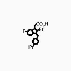 CCC1=C(CC(=O)O)c2cc(F)ccc2C1=Cc1ccc(C(C)C)cc1